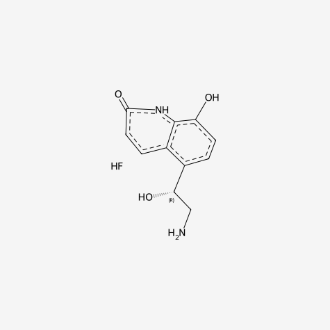 F.NC[C@H](O)c1ccc(O)c2[nH]c(=O)ccc12